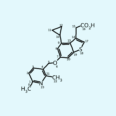 Cc1ccc(COc2cc(C3CC3)c3c(CC(=O)O)csc3c2)c(C)n1